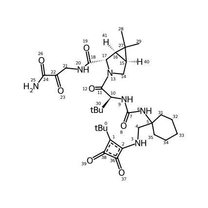 CC(C)(C)c1c(NCC2(NC(=O)N[C@H](C(=O)N3C[C@H]4[C@@H]([C@H]3C(=O)NCC(=O)C(N)=O)C4(C)C)C(C)(C)C)CCCCC2)c(=O)c1=O